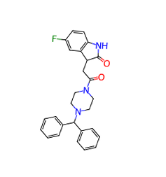 O=C1Nc2ccc(F)cc2C1CC(=O)N1CCN(C(c2ccccc2)c2ccccc2)CC1